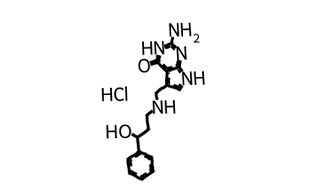 Cl.Nc1nc2[nH]cc(CNCCC(O)c3ccccc3)c2c(=O)[nH]1